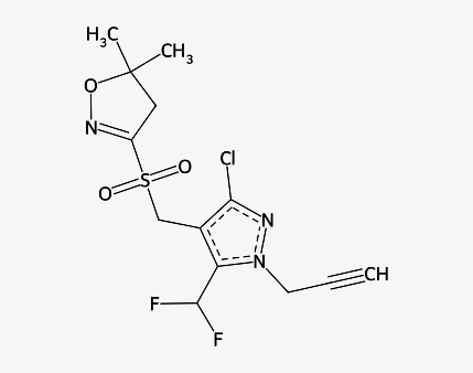 C#CCn1nc(Cl)c(CS(=O)(=O)C2=NOC(C)(C)C2)c1C(F)F